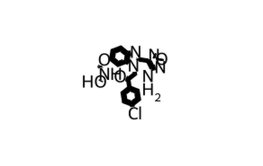 Nc1nonc1-c1nc2ccccc2n1CC(=O)c1ccc(Cl)cc1.O=CNO